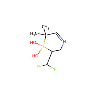 CC1(C)C=NCC(C(F)F)S1(O)O